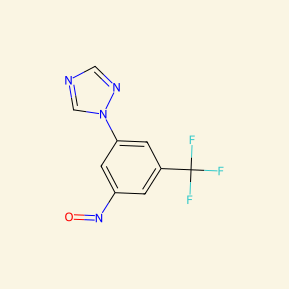 O=Nc1cc(-n2cncn2)cc(C(F)(F)F)c1